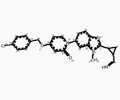 Cn1c(C2CC2C=N)nc2ccc(-n3ccc(OCc4ccc(Cl)cc4)cc3=O)cc21